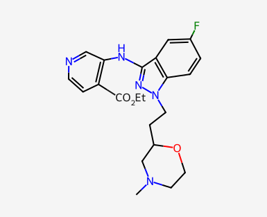 CCOC(=O)c1ccncc1Nc1nn(CCC2CN(C)CCO2)c2ccc(F)cc12